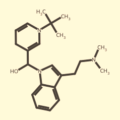 CN(C)CCc1cn(C(O)C2=CN(C(C)(C)C)C=CC2)c2ccccc12